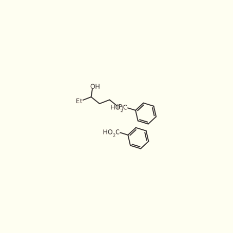 CCC(O)CCC(C)C.O=C(O)c1ccccc1.O=C(O)c1ccccc1